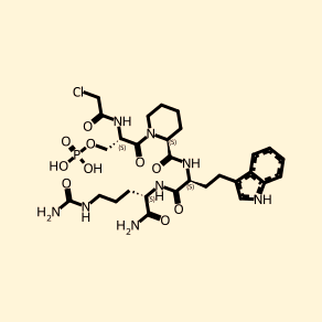 NC(=O)NCCC[C@H](NC(=O)[C@H](CCc1c[nH]c2ccccc12)NC(=O)[C@@H]1CCCCN1C(=O)[C@H](COP(=O)(O)O)NC(=O)CCl)C(N)=O